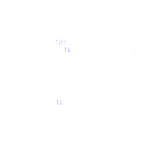 N#Cc1c(N2CC3CCC(C2)N3)cc(F)c2c1CCCC2